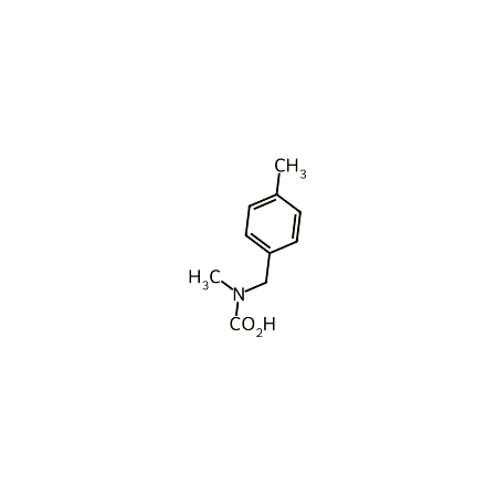 Cc1ccc(CN(C)C(=O)O)cc1